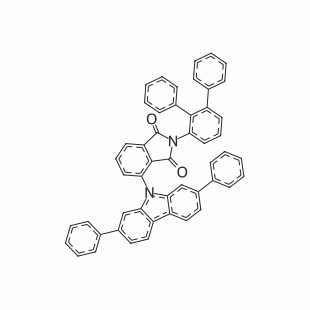 O=C1c2cccc(-n3c4cc(-c5ccccc5)ccc4c4ccc(-c5ccccc5)cc43)c2C(=O)N1c1cccc(-c2ccccc2)c1-c1ccccc1